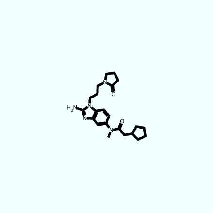 CN(C(=O)CC1CCCC1)c1ccc2c(c1)nc(N)n2CCCN1CCCC1=O